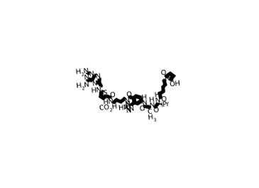 CC(C)[C@H](NC(=O)CCCCCN1C(=O)C=CC1O)C(=O)N[C@@H](C)C(=O)Nc1ccc(C(=O)NCCC[C@H](NC(=O)c2ccc(NCc3cnc4nc(N)nc(N)c4n3)s2)C(=O)O)c(-c2nn[nH]n2)c1